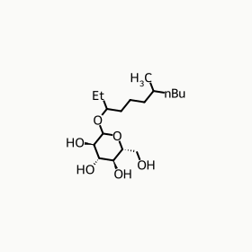 CCCCC(C)CCCC(CC)OC1O[C@H](CO)[C@@H](O)[C@H](O)[C@H]1O